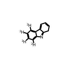 [2H]c1c([2H])c([2H])c2c(c1[2H])N=C1CC=CC=C12